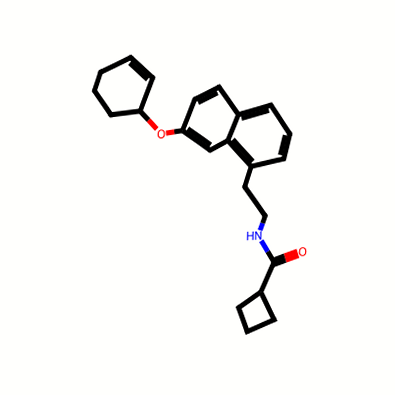 O=C(NCCc1cccc2ccc(OC3C=CCCC3)cc12)C1CCC1